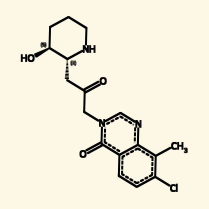 Cc1c(Cl)ccc2c(=O)n(CC(=O)C[C@H]3NCCC[C@@H]3O)cnc12